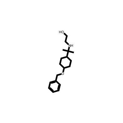 CC(C)(NCCO)C1CCC(OCc2ccccc2)CC1